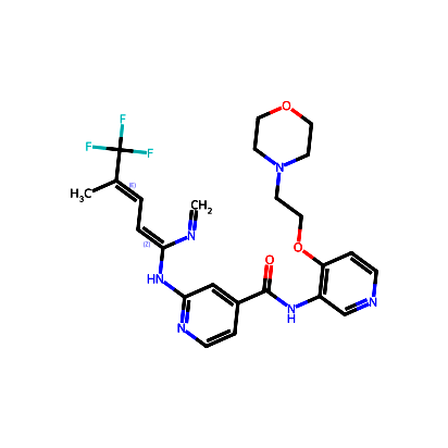 C=N/C(=C\C=C(/C)C(F)(F)F)Nc1cc(C(=O)Nc2cnccc2OCCN2CCOCC2)ccn1